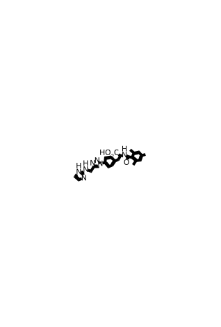 Cc1cc(C)c(C(=O)NC(Cc2ccc(-n3cc(CNc4ncc[nH]4)nn3)cc2)C(=O)O)c(C)c1